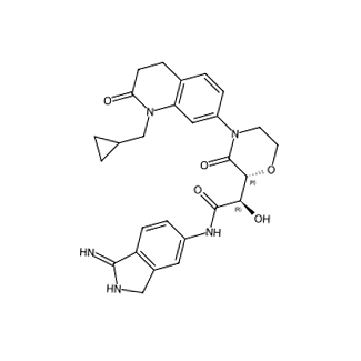 N=C1NCc2cc(NC(=O)[C@H](O)[C@H]3OCCN(c4ccc5c(c4)N(CC4CC4)C(=O)CC5)C3=O)ccc21